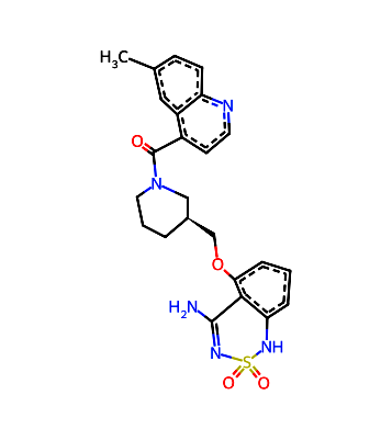 Cc1ccc2nccc(C(=O)N3CCC[C@H](COc4cccc5c4C(N)=NS(=O)(=O)N5)C3)c2c1